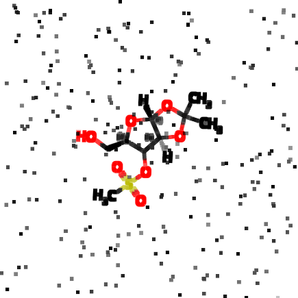 CC1(C)O[C@H]2O[C@H](CO)C(OS(C)(=O)=O)[C@@H]2O1